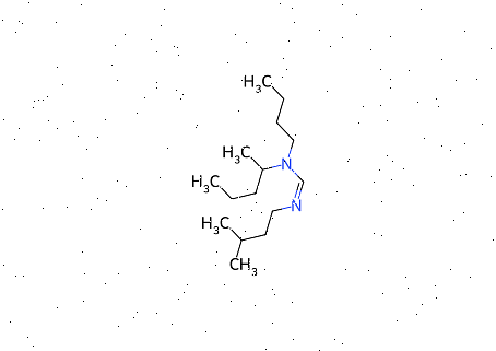 CCCCN(/C=N\CCC(C)C)C(C)CCC